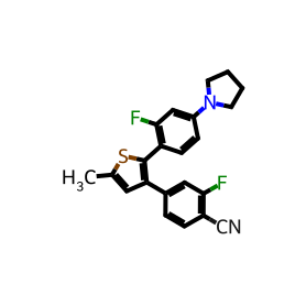 Cc1cc(-c2ccc(C#N)c(F)c2)c(-c2ccc(N3CCCC3)cc2F)s1